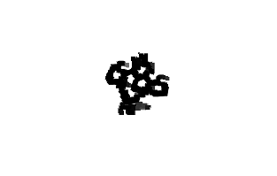 [Fe+3].[c-]1cccnc1-c1nnnc(-c2[c-]cccn2)c1-c1[c-]cccn1